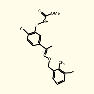 COC(=O)NOc1cc(/C(C)=N/OCc2cccc(F)c2C(F)(F)F)ccc1Cl